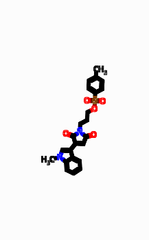 Cc1ccc(S(=O)(=O)OCCCN2C(=O)C=C(c3cn(C)c4ccccc34)C2=O)cc1